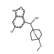 COC12CCC(C(O)c3cc(Cl)cc4[nH]ncc34)(CC1)CC2